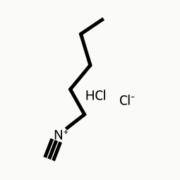 C#[N+]CCCCC.Cl.[Cl-]